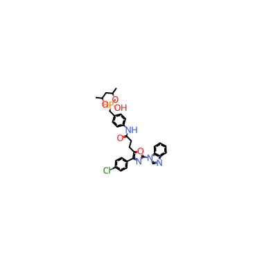 CC1CC(C)O[PH](O)(Cc2ccc(NC(=O)CCc3oc(-n4cnc5ccccc54)nc3-c3ccc(Cl)cc3)cc2)O1